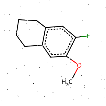 COc1cc2c(cc1F)CCCC2